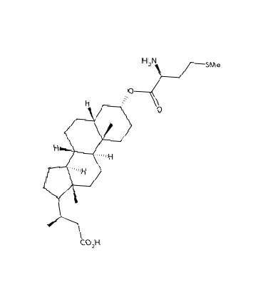 CSCC[C@H](N)C(=O)O[C@@H]1CC[C@@]2(C)[C@H](CC[C@@H]3[C@@H]2CC[C@]2(C)C([C@H](C)CC(=O)O)CC[C@@H]32)C1